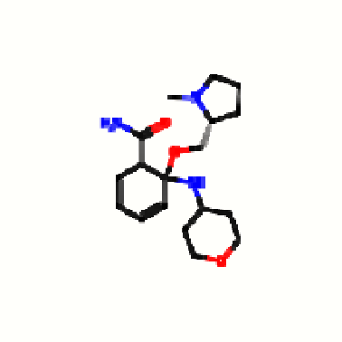 CN1CCC[C@@H]1COC1(NC2CCOCC2)C=CC=CC1C(N)=O